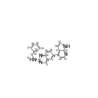 C[C@@H](Nc1ncc2cc(-c3ccnc4[nH]ccc34)ccc2n1)c1ccccc1